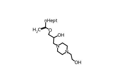 C=C(CCCCCCC)OCC(O)CN1CCN(CCO)CC1